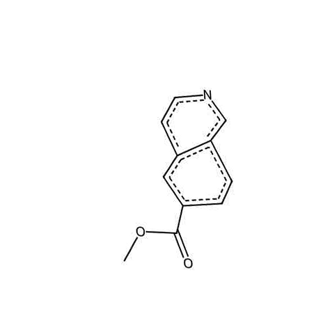 COC(=O)c1ccc2cnccc2c1